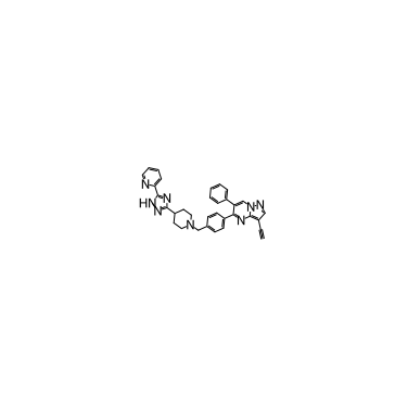 C#Cc1cnn2cc(-c3ccccc3)c(-c3ccc(CN4CCC(c5n[nH]c(-c6ccccn6)n5)CC4)cc3)nc12